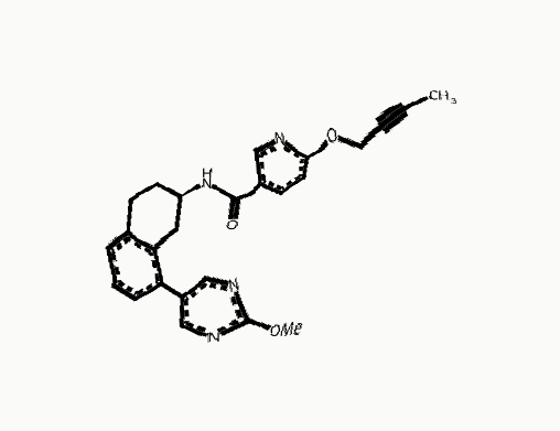 CC#CCOc1ccc(C(=O)N[C@@H]2CCc3cccc(-c4cnc(OC)nc4)c3C2)cn1